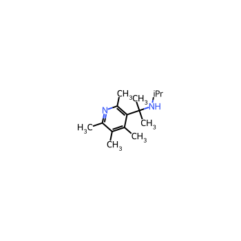 Cc1nc(C)c(C(C)(C)NC(C)C)c(C)c1C